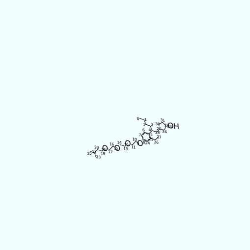 CCCC[C@@H]1c2ccc(OCCOCCOCCOCCC(C)C)cc2CC[C@H]1[C@@H]1CC[C@H](O)C1